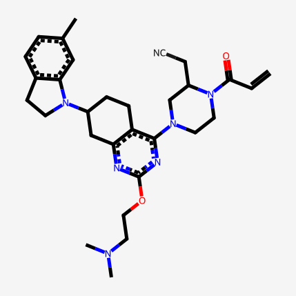 C=CC(=O)N1CCN(c2nc(OCCN(C)C)nc3c2CCC(N2CCc4ccc(C)cc42)C3)CC1CC#N